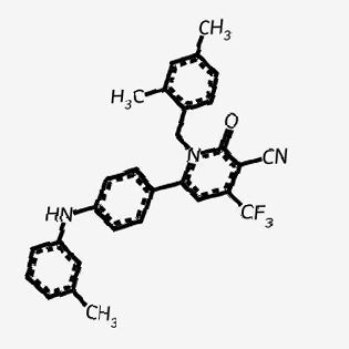 Cc1cccc(Nc2ccc(-c3cc(C(F)(F)F)c(C#N)c(=O)n3Cc3ccc(C)cc3C)cc2)c1